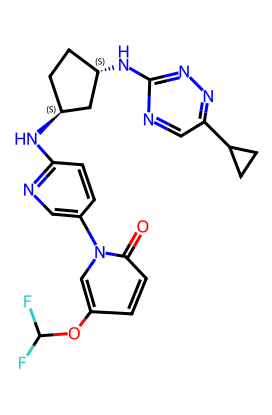 O=c1ccc(OC(F)F)cn1-c1ccc(N[C@H]2CC[C@H](Nc3ncc(C4CC4)nn3)C2)nc1